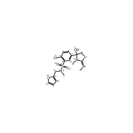 CN=C1SCC(O)(c2ccc(Cl)c(S(=O)(=O)N(C)Cc3ccco3)c2)N1C